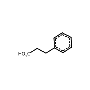 O=[13C](O)CCc1ccccc1